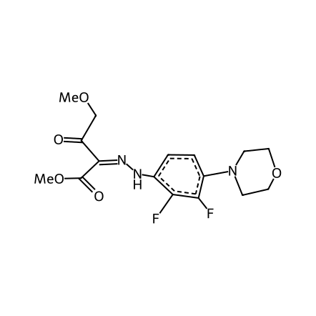 COCC(=O)/C(=N/Nc1ccc(N2CCOCC2)c(F)c1F)C(=O)OC